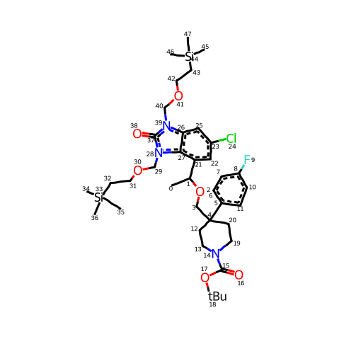 CC(OCC1(c2ccc(F)cc2)CCN(C(=O)OC(C)(C)C)CC1)c1cc(Cl)cc2c1n(COCC[Si](C)(C)C)c(=O)n2COCC[Si](C)(C)C